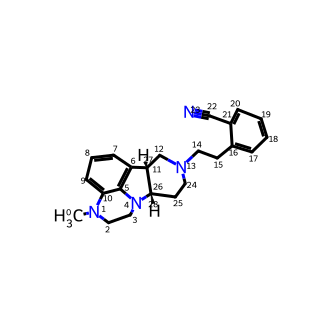 CN1CCN2c3c(cccc31)[C@@H]1CN(CCc3ccccc3C#N)CC[C@@H]12